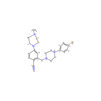 CN1CCN(c2ccc(C#N)c(CN3CCN(c4ccc(Br)cc4)CC3)c2)CC1